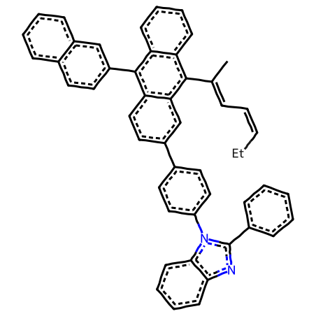 CC/C=C\C=C(/C)c1c2ccccc2c(-c2ccc3ccccc3c2)c2ccc(-c3ccc(-n4c(-c5ccccc5)nc5ccccc54)cc3)cc12